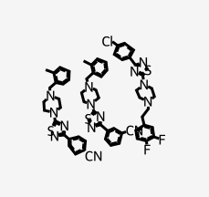 Cc1ccccc1CN1CCN(c2nc(-c3ccc(C#N)cc3)ns2)CC1.Cc1ccccc1CN1CCN(c2nc(-c3cccc(C#N)c3)ns2)CC1.Fc1ccc(CCN2CCN(c3nc(-c4ccc(Cl)cc4)ns3)CC2)cc1F